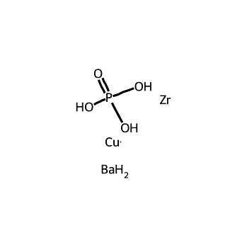 O=P(O)(O)O.[BaH2].[Cu].[Zr]